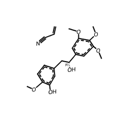 C=CC#N.COc1ccc(C[C@@H](O)c2cc(OC)c(OC)c(OC)c2)cc1O